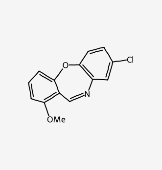 COc1cccc2c1C=Nc1cc(Cl)ccc1O2